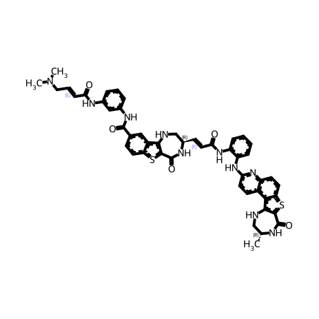 C[C@@H]1CNc2c(sc3ccc4nc(Nc5ccccc5NC(=O)/C=C/[C@@H]5CNc6c(sc7ccc(C(=O)Nc8cccc(NC(=O)/C=C/CN(C)C)c8)cc67)C(=O)N5)ccc4c23)C(=O)N1